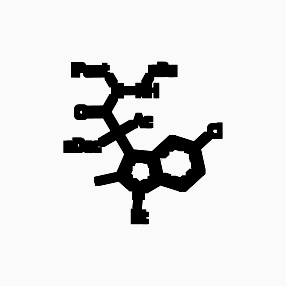 CCCCCCCCCCC(C(C)=O)(C(=O)N(NCCCC)C(C)CCC)c1c(C)n(CC)c2ccc(Cl)cc12